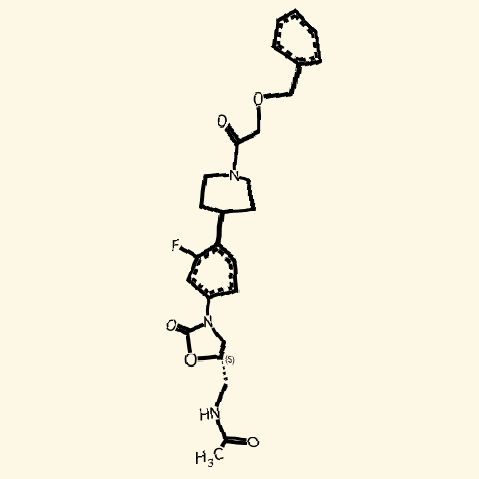 CC(=O)NC[C@H]1CN(c2ccc(C3CCN(C(=O)COCc4ccccc4)CC3)c(F)c2)C(=O)O1